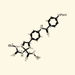 CCCCCc1ccc(C(=O)Nc2ccc(C3=NC(NC(=O)OC(C)(C)C)(C(=O)OC(C)(C)C)N=C3)cc2)cc1